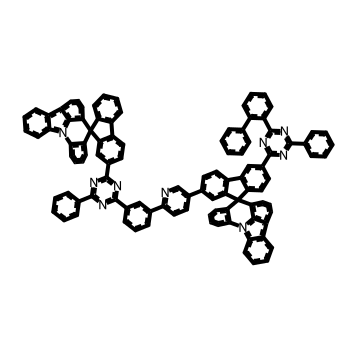 c1ccc(-c2nc(-c3cccc(-c4ccc(-c5ccc6c(c5)C5(c7ccc(-c8nc(-c9ccccc9)nc(-c9ccccc9-c9ccccc9)n8)cc7-6)c6ccccc6-n6c7ccccc7c7cccc5c76)cn4)c3)nc(-c3ccc4c(c3)C3(c5ccccc5-4)c4ccccc4-n4c5ccccc5c5cccc3c54)n2)cc1